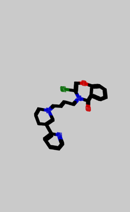 O=C1c2ccccc2OC=C(Cl)N1CCCCN1CCCC(c2ccccn2)C1